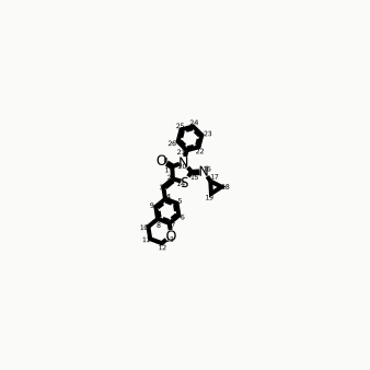 O=C1/C(=C/c2ccc3c(c2)CCCO3)S/C(=N\C2CC2)N1c1ccccc1